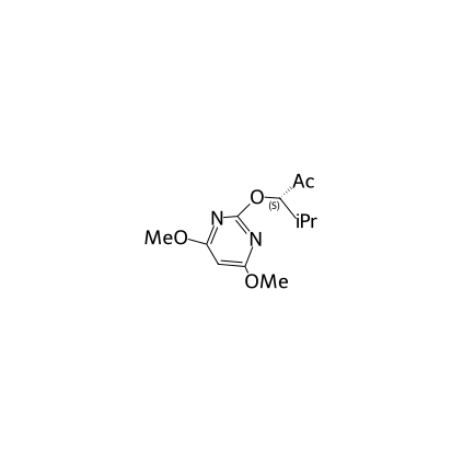 COc1cc(OC)nc(O[C@H](C(C)=O)C(C)C)n1